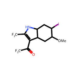 COC1CC2C(C(=O)C(F)(F)F)=C(C(F)(F)F)NC2CC1I